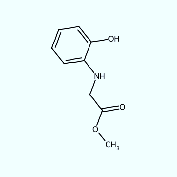 COC(=O)CNc1ccccc1O